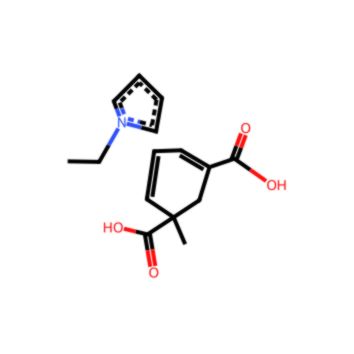 CC1(C(=O)O)C=CC=C(C(=O)O)C1.CCn1cccc1